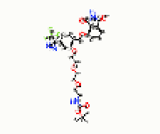 CC(C)(C)OC(=O)NCCOCCOCCOc1cc(C2(C(F)(F)F)N=N2)ccc1COc1cccc2c1C(=O)NC2=O